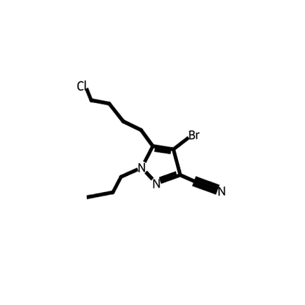 CCCn1nc(C#N)c(Br)c1CCCCCl